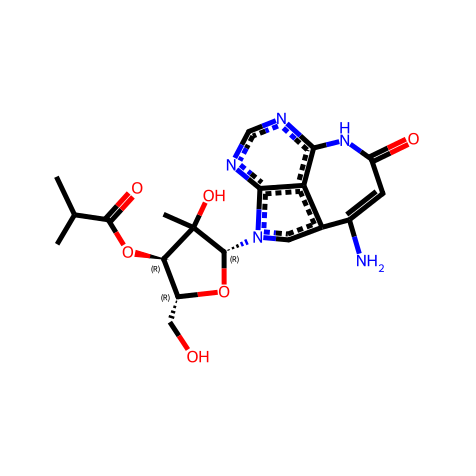 CC(C)C(=O)O[C@@H]1[C@@H](CO)O[C@@H](n2cc3c4c(ncnc42)NC(=O)C=C3N)C1(C)O